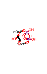 CCCCCCCCOP(=O)(O)OP(=O)(O)OCCCCCCCC.O=CC(=O)O